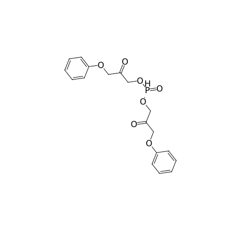 O=C(COc1ccccc1)CO[PH](=O)OCC(=O)COc1ccccc1